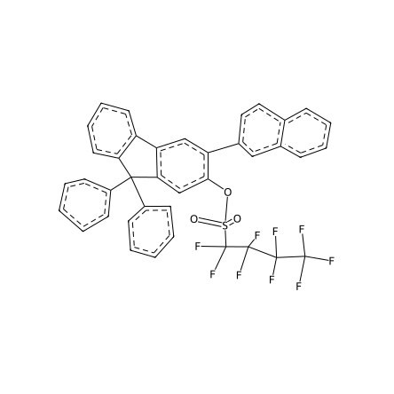 O=S(=O)(Oc1cc2c(cc1-c1ccc3ccccc3c1)-c1ccccc1C2(c1ccccc1)c1ccccc1)C(F)(F)C(F)(F)C(F)(F)C(F)(F)F